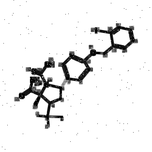 CC(C)(C)C1C[C@@H](c2ccc(OCc3ccccc3F)cc2)N(C(=O)O)[C@@]1(C)C(N)=O